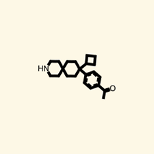 CC(=O)c1ccc(C2(C3CCC3)CCC3(CCNCC3)CC2)cc1